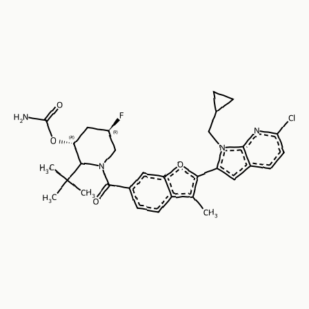 Cc1c(-c2cc3ccc(Cl)nc3n2CC2CC2)oc2cc(C(=O)N3C[C@H](F)C[C@@H](OC(N)=O)C3C(C)(C)C)ccc12